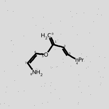 C=C(/C=C/CCC)O/C=C\N